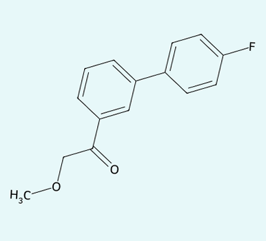 COCC(=O)c1cccc(-c2ccc(F)cc2)c1